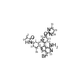 C=C(C)C(=O)Nc1ccc(-c2sc3c(Br)cnc(N)c3c2-c2ccc(Oc3nccc(C)n3)cn2)c(C)c1